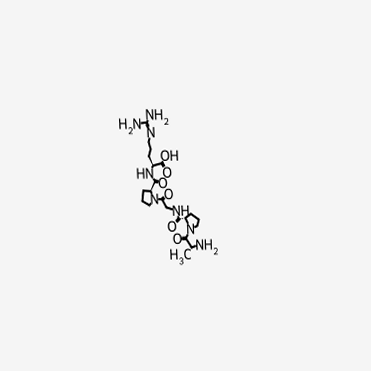 C[C@H](N)C(=O)N1CCC[C@H]1C(=O)NCC(=O)N1CCC[C@H]1C(=O)N[C@@H](CCCN=C(N)N)C(=O)O